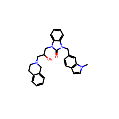 Cn1ccc2ccc(Cn3c(=O)n(CC(O)CN4CCc5ccccc5C4)c4ccccc43)cc21